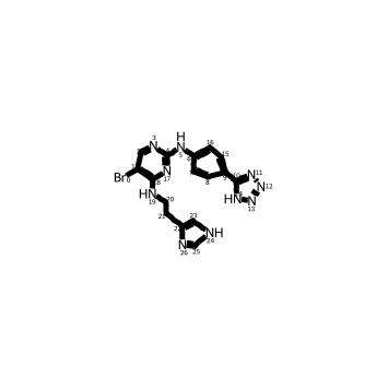 Brc1cnc(Nc2ccc(-c3nnn[nH]3)cc2)nc1NCCc1c[nH]cn1